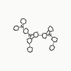 c1ccc(-c2cccc(-n3c4ccccc4c4cc(-c5ccc6c(c5)c5cc(-c7ccccc7)ccc5n6-c5ccc(N(c6ccccc6)c6ccccc6)cc5)ccc43)c2)cc1